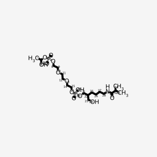 CC(O)OP(=O)(O)OCCOCCOCCOP(=O)(O)OCC(CO)CCCCNC(=O)C(C)C